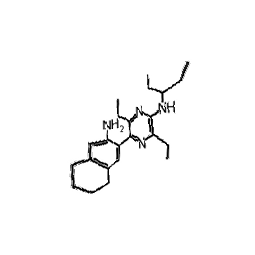 CCc1nc(-c2cc3c(cc2N)CCCC3)c(CC)nc1NC(CC)CC